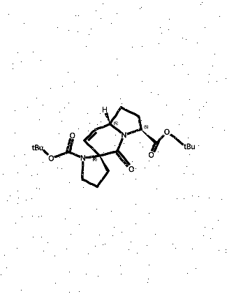 CC(C)(C)OC(=O)[C@@H]1CC[C@H]2C=C[C@]3(CCCN3C(=O)OC(C)(C)C)C(=O)N21